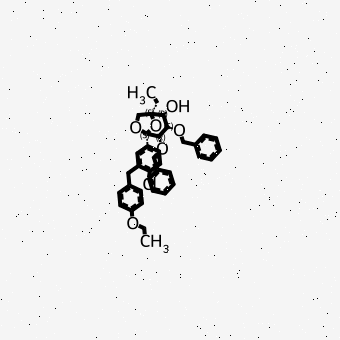 CCOc1ccc(Cc2cc([C@]34OC[C@](CC)(O3)[C@H](O)[C@H](OCc3ccccc3)[C@H]4OCc3ccccc3)ccc2Cl)cc1